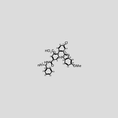 CCC[C@@H](NC(=O)c1ccc(-c2ccc(Cl)cc2-c2nc3cc(OC)ccc3[nH]2)c(C(=O)O)c1)c1ccccc1